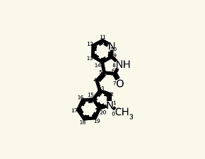 Cn1cc(C=C2C(=O)Nc3ncccc32)c2ccccc21